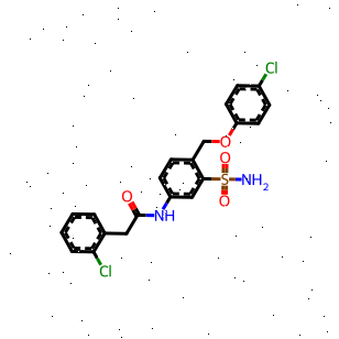 NS(=O)(=O)c1cc(NC(=O)Cc2ccccc2Cl)ccc1COc1ccc(Cl)cc1